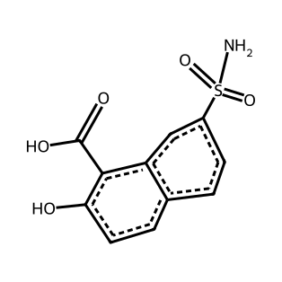 NS(=O)(=O)c1ccc2ccc(O)c(C(=O)O)c2c1